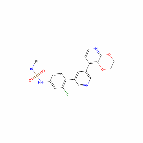 CC(C)NS(=O)(=O)Nc1ccc(-c2cncc(-c3ccnc4c3OCCO4)c2)c(Cl)c1